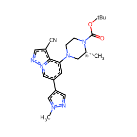 C[C@@H]1CN(c2cc(-c3cnn(C)c3)cn3ncc(C#N)c23)CCN1C(=O)OC(C)(C)C